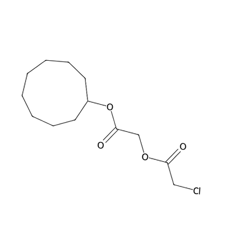 O=C(CCl)OCC(=O)OC1CCCCCCCC1